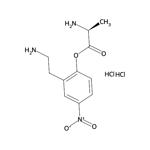 C[C@H](N)C(=O)Oc1ccc([N+](=O)[O-])cc1CCN.Cl.Cl